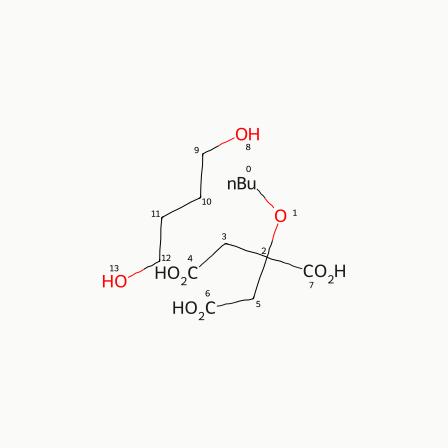 CCCCOC(CC(=O)O)(CC(=O)O)C(=O)O.OCCCCO